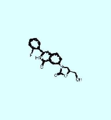 O=C1O[C@H](CO)CN1c1ccc2cc(-c3ccccc3F)[nH]c(=O)c2c1